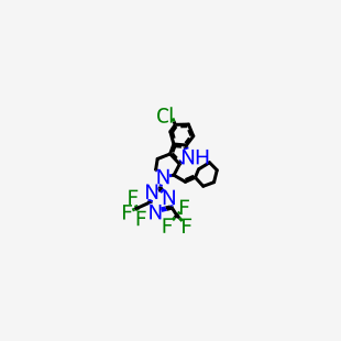 FC(F)(F)c1nc(N2CCc3c([nH]c4ccc(Cl)cc34)C2C=C2CCCCC2)nc(C(F)(F)F)n1